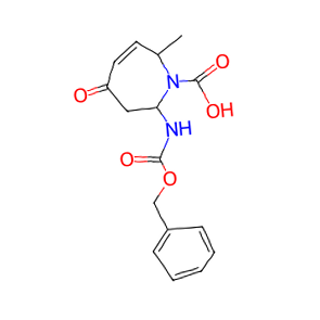 CC1C=CC(=O)CC(NC(=O)OCc2ccccc2)N1C(=O)O